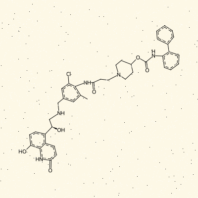 Cc1cc(CNC[C@@H](O)c2ccc(O)c3[nH]c(=O)ccc23)cc(Cl)c1NC(=O)CCN1CCC(OC(=O)Nc2ccccc2-c2ccccc2)CC1